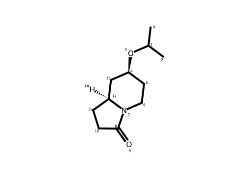 CC(C)O[C@H]1CCN2C(=O)CC[C@H]2C1